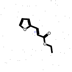 CCOC(=O)/C=C/c1ccco1